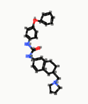 O=C(Nc1ccc(Oc2ccccc2)cc1)Nc1ccc2c(c1)CCC(CN1CCCC1)C2